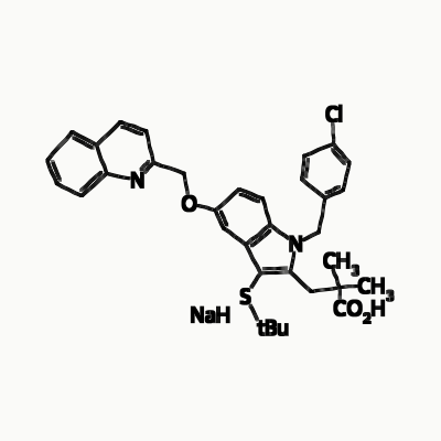 CC(C)(C)Sc1c(CC(C)(C)C(=O)O)n(Cc2ccc(Cl)cc2)c2ccc(OCc3ccc4ccccc4n3)cc12.[NaH]